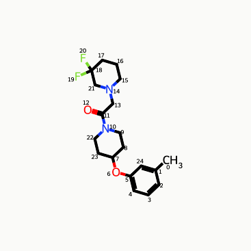 Cc1cccc(OC2CCN(C(=O)CN3CCCC(F)(F)C3)CC2)c1